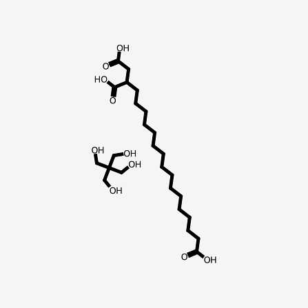 O=C(O)CCCCCCCCCCCCCCCC(CC(=O)O)C(=O)O.OCC(CO)(CO)CO